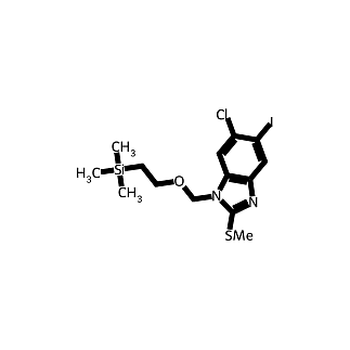 CSc1nc2cc(I)c(Cl)cc2n1COCC[Si](C)(C)C